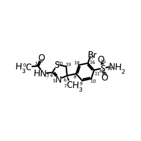 CC(=O)NC1=N[C@@](C)(c2ccc(S(N)(=O)=O)c(Br)c2)CS1